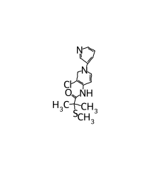 CSC(C)(C)C(=O)NC1=C(Cl)CN(c2cccnc2)C=C1